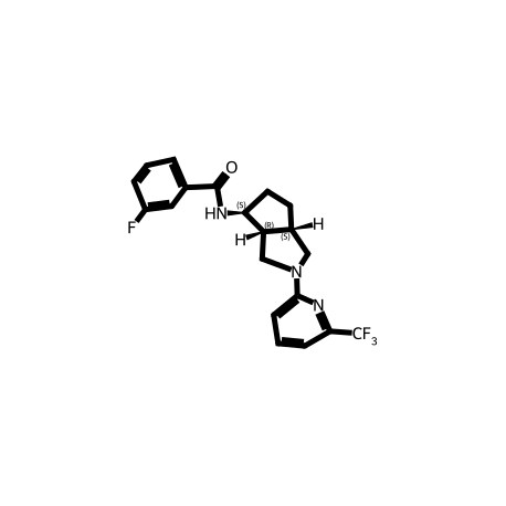 O=C(N[C@H]1CC[C@@H]2CN(c3cccc(C(F)(F)F)n3)C[C@@H]21)c1cccc(F)c1